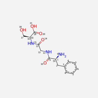 N[C@@H](Cc1ccccc1)C(=O)NCC(=O)N[C@@H](CO)C(=O)O